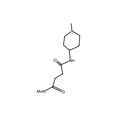 CNC(=O)CCC(=O)NC1CCN(C)CC1